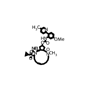 COc1ccc(-c2ccc(C)cn2)c(NC(=O)OC2CC3C(=O)N(C)CCCCC=CCCC(S(=O)(=O)C4CC4)N(C(N)=O)C(=O)C3C2)c1